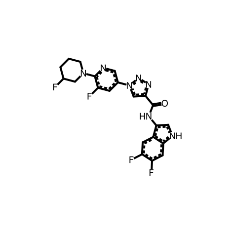 O=C(Nc1c[nH]c2cc(F)c(F)cc12)c1cn(-c2cnc(N3CCCC(F)C3)c(F)c2)nn1